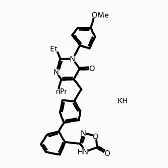 CCCc1nc(CC)n(-c2ccc(OC)cc2)c(=O)c1Cc1ccc(-c2ccccc2-c2noc(=O)[nH]2)cc1.[KH]